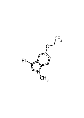 CCc1cn(C)c2ccc(OCC(F)(F)F)cc12